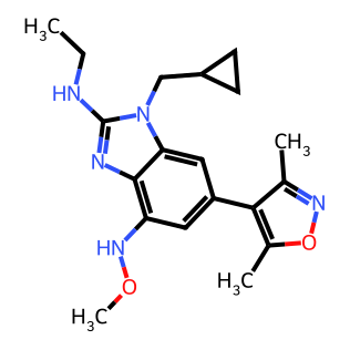 CCNc1nc2c(NOC)cc(-c3c(C)noc3C)cc2n1CC1CC1